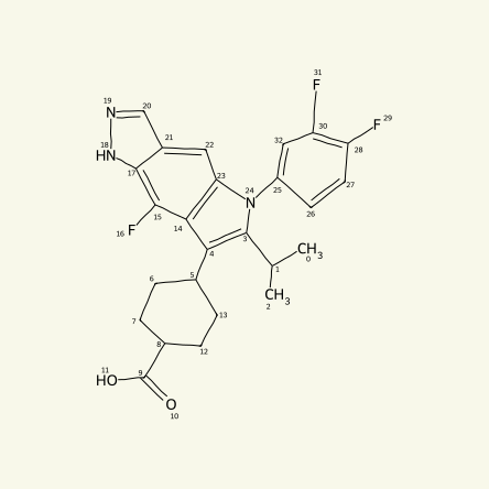 CC(C)c1c(C2CCC(C(=O)O)CC2)c2c(F)c3[nH]ncc3cc2n1-c1ccc(F)c(F)c1